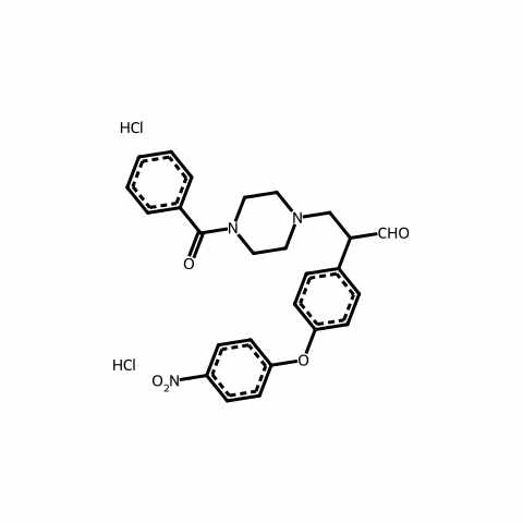 Cl.Cl.O=CC(CN1CCN(C(=O)c2ccccc2)CC1)c1ccc(Oc2ccc([N+](=O)[O-])cc2)cc1